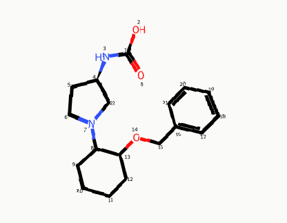 O=C(O)N[C@@H]1CCN(C2CCCCC2OCc2ccccc2)C1